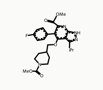 COC(=O)c1nc2[nH]nc(C(C)C)c2c(OCC2CCN(C(=O)OC)CC2)c1-c1ccc(F)cc1